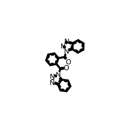 O=C(c1ccccc1C(=O)n1nnc2ccccc21)n1nnc2ccccc21